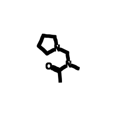 CC(=O)N(C)CN1CCCC1